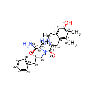 Cc1cc(O)c(C)c(C)c1C[C@H](N)C(=O)N(CCCc1ccccc1)[C@H](C)C(N)=O